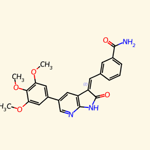 COc1cc(-c2cnc3c(c2)/C(=C/c2cccc(C(N)=O)c2)C(=O)N3)cc(OC)c1OC